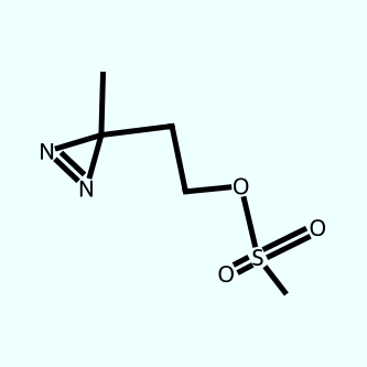 CC1(CCOS(C)(=O)=O)N=N1